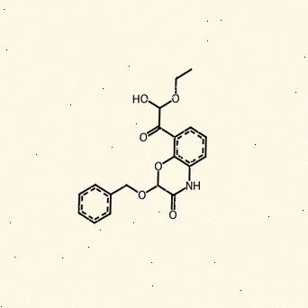 CCOC(O)C(=O)c1cccc2c1OC(OCc1ccccc1)C(=O)N2